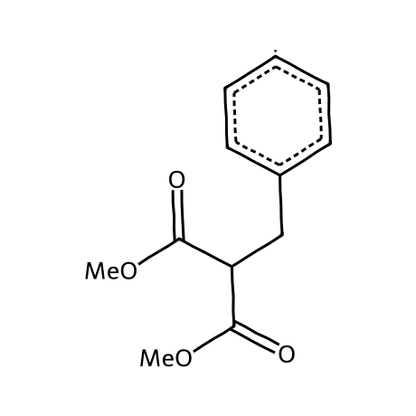 COC(=O)C(Cc1cc[c]cc1)C(=O)OC